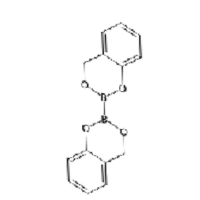 c1ccc2c(c1)COB(B1OCc3ccccc3O1)O2